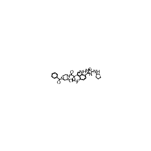 C[C@@H]1CN(C(=O)c2ccccc2)CCN1C(=O)C(=O)c1c[nH]c2c(-c3noc(NC4CCCC4)n3)ccc(F)c12